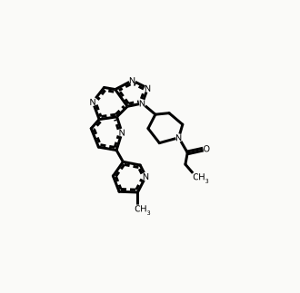 CCC(=O)N1CCC(n2nnc3cnc4ccc(-c5ccc(C)nc5)nc4c32)CC1